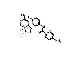 NC1=N[C@@]2(c3cc(NC(=O)c4ccc(N)cn4)ccc3F)CO[C@H](C(F)(F)F)[C@H]2CS1